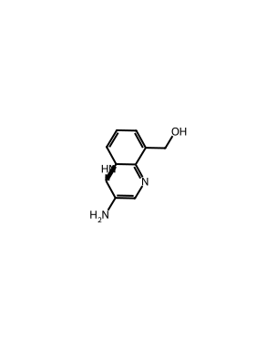 NC1=CN=C2C(CO)=CC=CC23NC=CC=C13